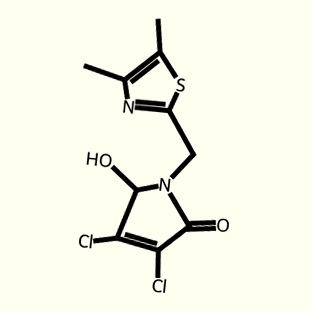 Cc1nc(CN2C(=O)C(Cl)=C(Cl)C2O)sc1C